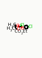 CC=C(C)C(OC(=O)C(Cl)Oc1ccc(Cl)cc1)C(=O)OCC